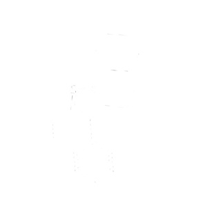 C1=CC2C=Cc3c(sc4c3-c3ccccc3CC4)C2C=C1